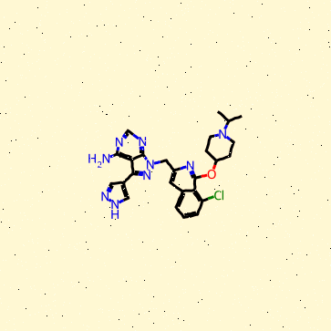 CC(C)N1CCC(Oc2nc(Cn3nc(-c4cn[nH]c4)c4c(N)ncnc43)cc3cccc(Cl)c23)CC1